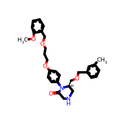 COc1ccccc1COCCCOc1ccc(N2C(=O)CNC[C@@H]2COCc2cccc(C)c2)cc1